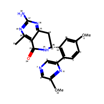 COc1ccc(-c2cncc(OC)n2)c([C@H]2Cc3nc(N)nc(C)c3C(=O)N2)c1